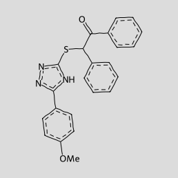 COc1ccc(-c2nnc(SC(C(=O)c3ccccc3)c3ccccc3)[nH]2)cc1